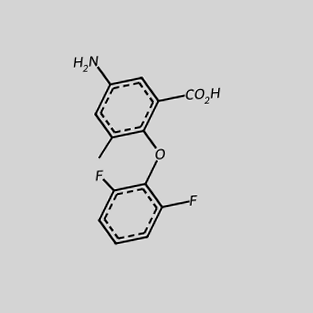 Cc1cc(N)cc(C(=O)O)c1Oc1c(F)cccc1F